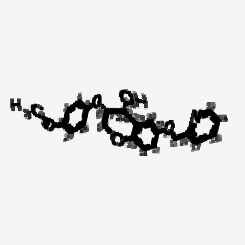 COc1ccc(O[C@H]2COc3ccc(OCc4ccccn4)cc3[C@H]2O)cc1